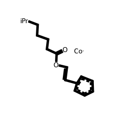 CC(C)CCCCC(=O)OC=Cc1ccccc1.[Co]